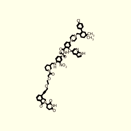 CC1(C)CCC(CN2CCN(c3ccc(C(=O)NS(=O)(=O)c4ccc(NCC5CCCN(C(=O)COCCOCC#Cc6cccc7c6CN(C6CCC(=O)NC6=O)C7=O)C5)c([N+](=O)[O-])c4)c(Oc4cnc5[nH]ccc5c4)c3)CC2)=C(c2ccc(Cl)cc2)C1